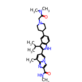 CNC(=O)c1cn2cc(-c3[nH]c4ccc(C5CCN(CC(=O)N(C)C)CC5)cc4c3C(C)C)cc(C)c2n1